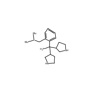 CC(C)(C)P(Cc1ccccc1C(P)(C1CCNC1)C1CCNC1)C(C)(C)C